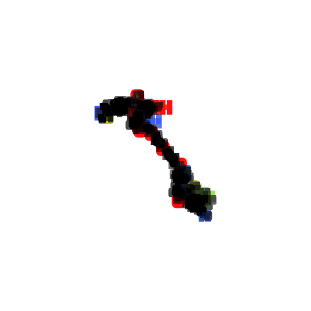 Cc1ncsc1-c1ccc(CNC(=O)[C@@H]2C[C@@H](O)CN2C(=O)[C@@H](NC(=O)COCCCOCCCCOc2ccc(N3C(=S)N(c4ccc(C#N)c(C(F)(F)F)c4F)C(=O)C3(C)C)cn2)C(C)(C)C)cc1